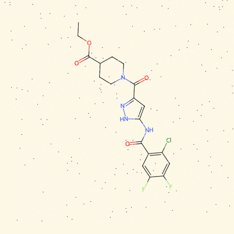 CCOC(=O)C1CCN(C(=O)c2cc(NC(=O)c3cc(F)c(F)cc3Cl)[nH]n2)CC1